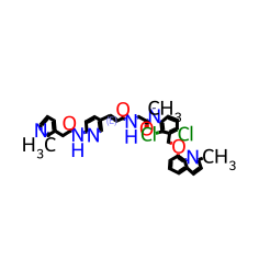 Cc1ccc2cccc(OCc3c(Cl)ccc(N(C)C(=O)CNC(=O)/C=C/c4ccc(NC(=O)Cc5cccnc5C)nc4)c3Cl)c2n1